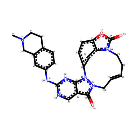 CN1CCc2ccc(Nc3ncc4c(=O)n5n(c4n3)-c3ccc4oc(=O)n(c4c3)CC/C=C/C5)cc2C1